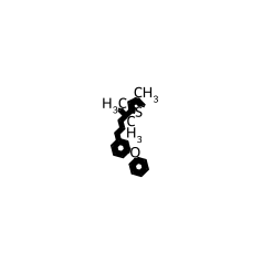 CCC(C)(CCCc1cccc(Oc2ccccc2)c1)c1cc(C)cs1